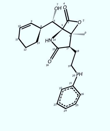 C[C@@]12OC(=O)[C@]1([C@@H](O)[C@@H]1C=CCCC1)NC(=O)[C@@H]2CCPc1ccccc1